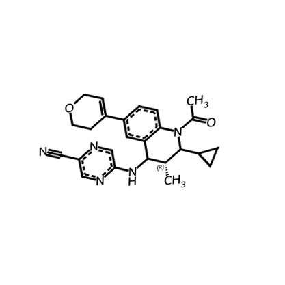 CC(=O)N1c2ccc(C3=CCOCC3)cc2C(Nc2cnc(C#N)cn2)[C@@H](C)C1C1CC1